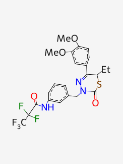 CCC1SC(=O)N(Cc2cccc(NC(=O)C(F)(F)C(F)(F)F)c2)N=C1c1ccc(OC)c(OC)c1